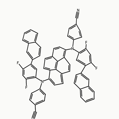 N#Cc1ccc(N(c2cc(-c3ccc4ccccc4c3)c(F)cc2F)c2ccc3ccc4c(N(c5ccc(C#N)cc5)c5cc(-c6ccc7ccccc7c6)c(F)cc5F)ccc5ccc2c3c54)cc1